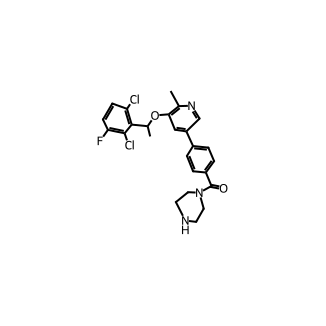 Cc1ncc(-c2ccc(C(=O)N3CCNCC3)cc2)cc1OC(C)c1c(Cl)ccc(F)c1Cl